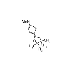 CNc1ccc(B2CC(C)(C)C(C)(C)O2)cc1